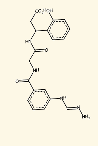 NN=CNc1cccc(C(=O)NCC(=O)NC(CC(=O)O)c2ccccc2O)c1